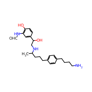 CC(CCCc1ccc(CCCCN)cc1)NCC(O)c1ccc(O)c(NC=O)c1